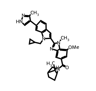 COc1cc(C(=O)N2CC3CCC2[C@@H]3C)cc2nc(-c3cc4ccc(-c5c[nH]nc5C)cc4n3CC3CC3)n(C)c12